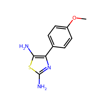 COc1ccc(-c2nc(N)sc2N)cc1